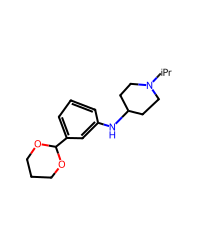 CC(C)N1CCC(Nc2cccc(C3OCCCO3)c2)CC1